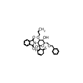 C=CCO[C@H]1[C@H](O)[C@@H](COCc2ccccc2)O[C@](O)(C2=CC=CCC2=S)[C@@H]1N1C(=O)c2ccccc2C1=O